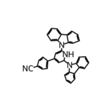 N#Cc1ccc(C2=CC(n3c4ccccc4c4ccccc43)NC(n3c4ccccc4c4ccccc43)=C2)cc1